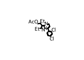 CCc1nn2c(-c3ccc(Cl)cc3Cl)ccnc2c1C(CC)COC(C)=O